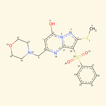 CSc1nn2c(O)cc(CN3CCOCC3)nc2c1S(=O)(=O)c1ccccc1